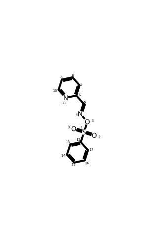 O=S(=O)(ON=Cc1ccccn1)c1ccccc1